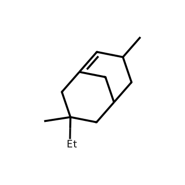 CCC1(C)CC2=CC(C)CC(C2)C1